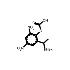 CCCCCCC(C)c1cc([N+](=O)[O-])cc([N+](=O)[O-])c1OC(O)=S